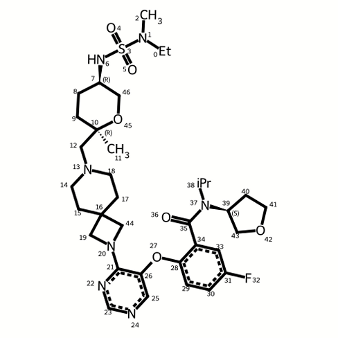 CCN(C)S(=O)(=O)N[C@@H]1CC[C@](C)(CN2CCC3(CC2)CN(c2ncncc2Oc2ccc(F)cc2C(=O)N(C(C)C)[C@H]2CCOC2)C3)OC1